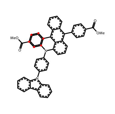 COC(=O)c1ccc(-c2c3ccccc3c(-c3ccc(C(=O)OC)cc3)c3c(N(c4ccccc4)c4ccc(-n5c6ccccc6c6ccccc65)cc4)cccc23)cc1